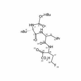 CCCC[C@H](NC(=O)OC(C)(C)C)C(=O)NC(CC(C)C)C(=O)NC(CCF)C(=O)C(=O)O